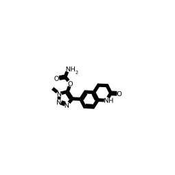 Cn1nnc(-c2ccc3c(c2)CCC(=O)N3)c1OC(N)=O